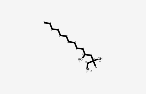 CCCCCCCCCCC(O)CC(C)(O)CN